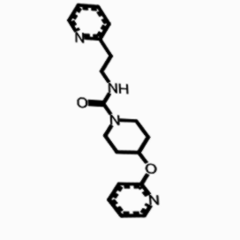 O=C(NCCc1ccccn1)N1CCC(Oc2ccccn2)CC1